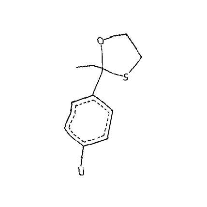 [Li][c]1ccc(C2(C)OCCS2)cc1